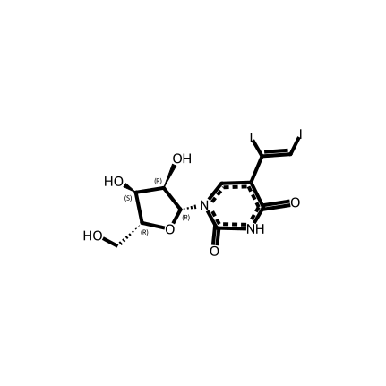 O=c1[nH]c(=O)n([C@@H]2O[C@H](CO)[C@@H](O)[C@H]2O)cc1C(I)=CI